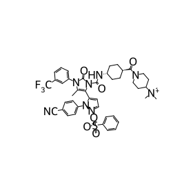 Cc1c(-c2ccnn2-c2ccc(C#N)cc2)n(C(=O)N[C@H]2CC[C@H](C(=O)N3CCC([N+](C)(C)C)CC3)CC2)c(=O)n1-c1cccc(C(F)(F)F)c1.O=S(=O)([O-])c1ccccc1